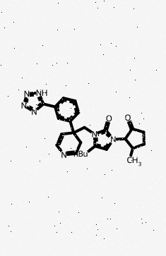 CCCCc1cn(C2C(=O)CCC2C)c(=O)n1CC1(c2cccc(-c3nnn[nH]3)c2)C=CN=CC1